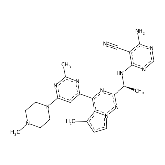 Cc1nc(-c2nc([C@H](C)Nc3ncnc(N)c3C#N)nn3ccc(C)c23)cc(N2CCN(C)CC2)n1